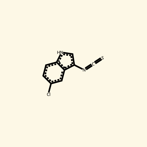 S=C=Nc1c[nH]c2ccc(Cl)cc12